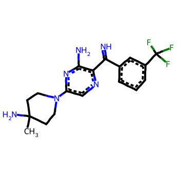 CC1(N)CCN(c2cnc(C(=N)c3cccc(C(F)(F)F)c3)c(N)n2)CC1